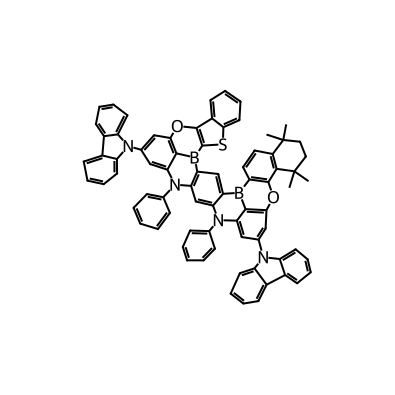 CC1(C)CCC(C)(C)c2c1ccc1c2Oc2cc(-n3c4ccccc4c4ccccc43)cc3c2B1c1cc2c(cc1N3c1ccccc1)N(c1ccccc1)c1cc(-n3c4ccccc4c4ccccc43)cc3c1B2c1sc2ccccc2c1O3